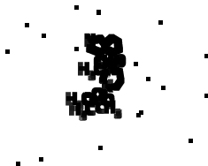 C[C@H]1CN(C(=O)OC(C)(C)C)CCCN1S(=O)(=O)c1cccc2cncc(Cl)c12